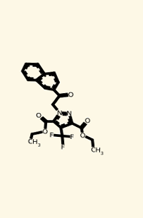 CCOC(=O)c1nn(CC(=O)c2ccc3ccccc3c2)c(C(=O)OCC)c1C(F)(F)F